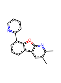 Cc1cc2c(nc1C)oc1c(-c3ccccn3)cccc12